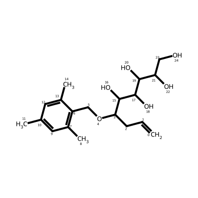 C=CCC(OCc1c(C)cc(C)cc1C)C(O)C(O)C(O)C(O)CO